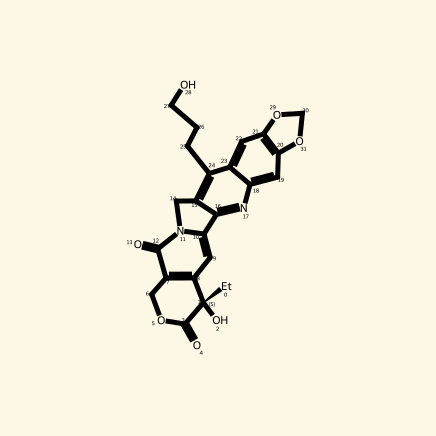 CC[C@@]1(O)C(=O)OCc2c1cc1n(c2=O)Cc2c-1nc1cc3c(cc1c2CCCO)OCO3